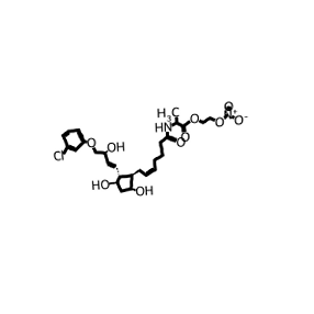 CC(NC(=O)CCC/C=C\C[C@@H]1[C@@H](/C=C/[C@@H](O)COc2cccc(Cl)c2)[C@H](O)C[C@@H]1O)C(=O)OCCO[N+](=O)[O-]